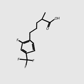 CC(CCCc1ccc(C(F)(F)F)cc1F)C(=O)O